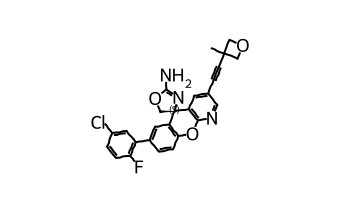 CC1(C#Cc2cnc3c(c2)[C@]2(COC(N)=N2)c2cc(-c4cc(Cl)ccc4F)ccc2O3)COC1